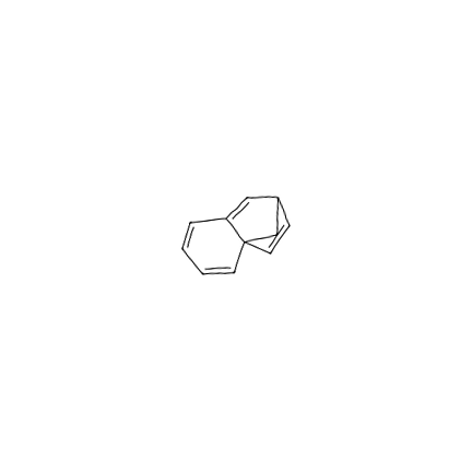 C1=CC2=CC3C=CC2(C=C1)C3